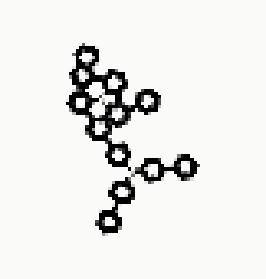 c1ccc(-c2ccc(N(c3ccc(-c4ccccc4)cc3)c3ccc(-c4ccc(-c5ccccc5-n5c6cccc(-c7ccccc7)c6c6cccc(-c7cccc8ccccc78)c65)cc4)cc3)cc2)cc1